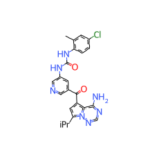 Cc1cc(Cl)ccc1NC(=O)Nc1cncc(C(=O)c2cc(C(C)C)n3ncnc(N)c23)c1